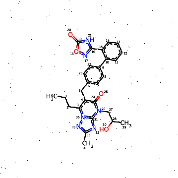 CCCc1c(Cc2ccc(-c3ccccc3-c3noc(=O)[nH]3)cc2)c(=O)n(CC(C)O)c2nc(C)nn12